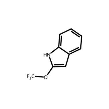 FC(F)(F)Oc1cc2ccccc2[nH]1